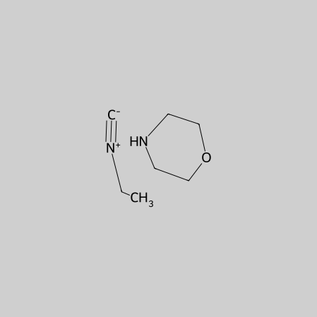 C1COCCN1.[C-]#[N+]CC